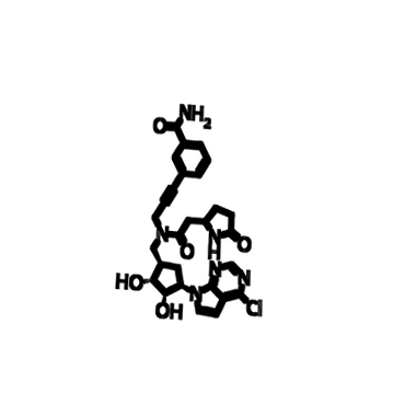 NC(=O)c1cccc(C#CCN(C[C@H]2C[C@@H](n3ccc4c(Cl)ncnc43)[C@H](O)[C@@H]2O)C(=O)CC2CCC(=O)N2)c1